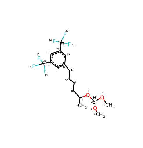 CO[SiH](OC)OC(C)CCCCc1cc(C(F)(F)F)cc(C(F)(F)F)c1